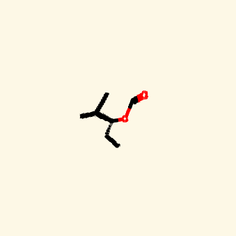 CC[C@@H](OC=O)C(C)C